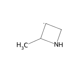 CC1[CH]CN1